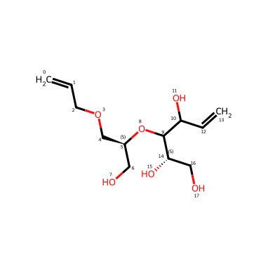 C=CCOC[C@H](CO)OC(C(O)C=C)[C@@H](O)CO